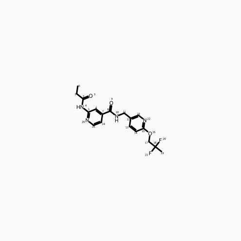 CCC(=O)Nc1cc(C(=O)NCc2ccc(OCC(C)(F)F)nc2)ccn1